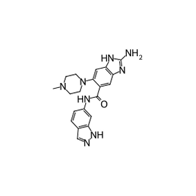 CN1CCN(c2cc3[nH]c(N)nc3cc2C(=O)Nc2ccc3cn[nH]c3c2)CC1